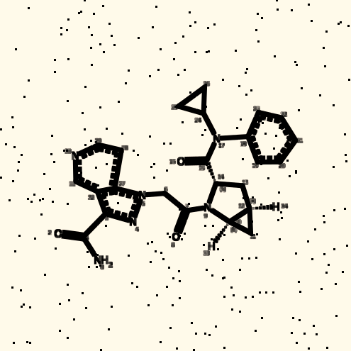 NC(=O)c1nn(CC(=O)N2[C@@H]3C[C@@H]3C[C@H]2C(=O)N(c2ccccc2)C2CC2)c2ccncc12